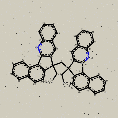 O=C(O)CC1(CC2(CC(=O)O)c3cc4ccccc4nc3-c3c2ccc2ccccc32)c2cc3ccccc3nc2-c2c1ccc1ccccc21